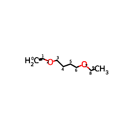 C=COCCCCOCC